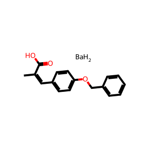 CC(=Cc1ccc(OCc2ccccc2)cc1)C(=O)O.[BaH2]